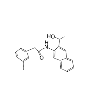 Cc1cccc(CC(=O)Nc2cc3ccccc3cc2C(C)O)c1